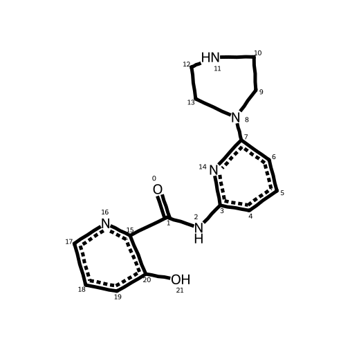 O=C(Nc1cccc(N2CCNCC2)n1)c1ncccc1O